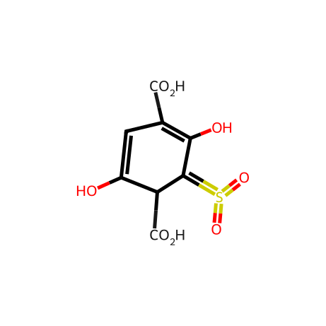 O=C(O)C1=C(O)C(=S(=O)=O)C(C(=O)O)C(O)=C1